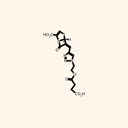 O=C(O)CCC(=O)OCCn1cc(C=C2C(=O)N3C(C(=O)O)=CS[C@H]23)nn1